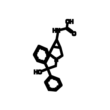 O=C(O)NC1C2CN(CC(O)(c3ccccc3)c3ccccc3)CC21